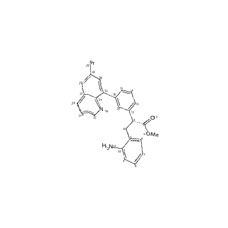 COC(=O)C(Cc1ccccc1N)c1cccc(-c2cc(C(C)C)cc3cccnc23)c1